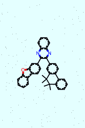 CC1(C)c2ccccc2-c2ccc(-c3nc4ccccc4nc3-c3ccc4c(c3)oc3ccccc34)cc2C1(C)C